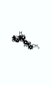 Cc1ccnc(NC(=O)c2ccc(Oc3ccnc4[nH]nc(NC5CCN(C(=O)C6(C#N)CC6)C5)c34)cc2)c1